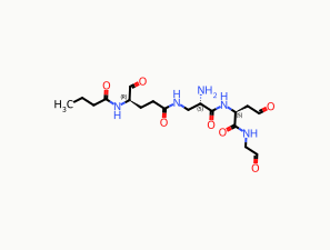 CCCC(=O)N[C@@H](C=O)CCC(=O)NC[C@H](N)C(=O)N[C@@H](CC=O)C(=O)NCC=O